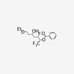 CCOCCC(O)CC(F)C(OC(=O)c1[c]cccc1)C(F)(F)F